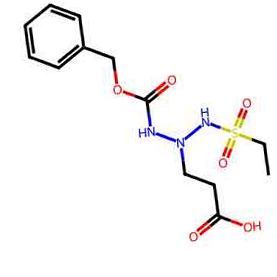 CCS(=O)(=O)NN(CCC(=O)O)NC(=O)OCc1ccccc1